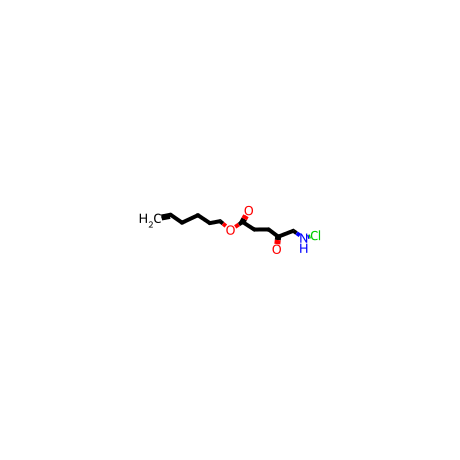 C=CCCCCOC(=O)CCC(=O)CNCl